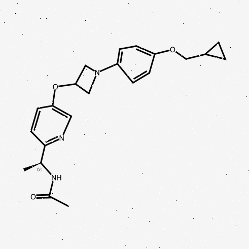 CC(=O)N[C@@H](C)c1ccc(OC2CN(c3ccc(OCC4CC4)cc3)C2)cn1